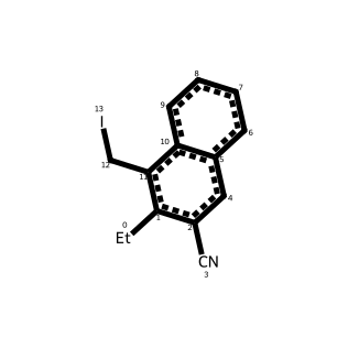 CCc1c(C#N)cc2ccccc2c1CI